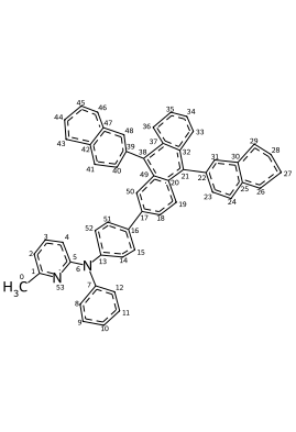 Cc1cccc(N(c2ccccc2)c2ccc(-c3ccc4c(-c5ccc6ccccc6c5)c5ccccc5c(-c5ccc6ccccc6c5)c4c3)cc2)n1